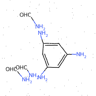 NC=O.NC=O.NC=O.Nc1cc(N)cc(N)c1